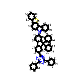 c1ccc(-c2nc(-c3ccccc3)nc(-c3ccc4c(c3)C(c3ccccc3)(c3ccccc3)c3cc(-n5c6ccccc6c6c7sc8ccccc8c7ccc65)ccc3-4)n2)cc1